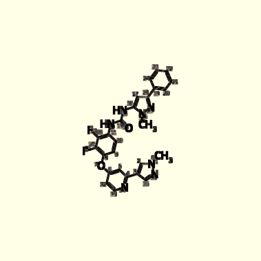 Cn1cc(-c2cc(Oc3ccc(NC(=O)Nc4cc(-c5ccccc5)nn4C)c(F)c3F)ccn2)cn1